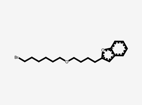 BrCCCCCCOCCCCc1cc2ccccc2o1